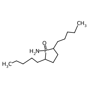 CCCCCC1CCC(CCCCC)P1(N)=O